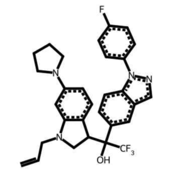 C=CCN1CC(C(O)(c2ccc3c(cnn3-c3ccc(F)cc3)c2)C(F)(F)F)c2ccc(N3CCCC3)cc21